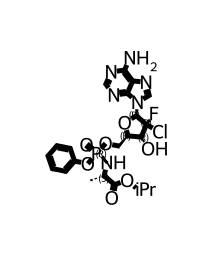 CC(C)OC(=O)[C@H](C)N[P@@](=O)(OC[C@H]1O[C@@H](n2cnc3c(N)ncnc32)[C@](F)(Cl)[C@@H]1O)Oc1ccccc1